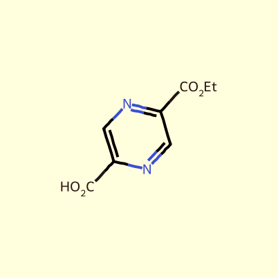 CCOC(=O)c1cnc(C(=O)O)cn1